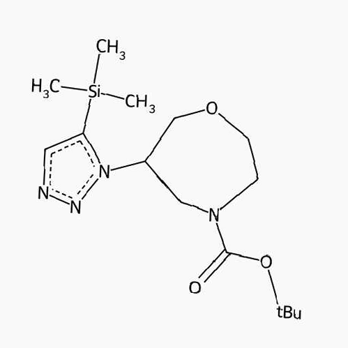 CC(C)(C)OC(=O)N1CCOCC(n2nncc2[Si](C)(C)C)C1